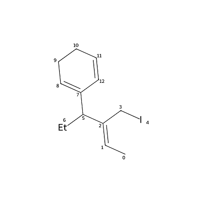 C/C=C(\CI)C(CC)C1=CCCC=C1